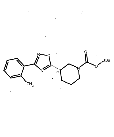 Cc1ccccc1-c1noc([C@H]2CCCN(C(=O)OC(C)(C)C)C2)n1